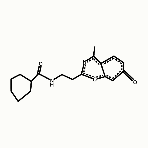 Cc1nc(CCNC(=O)C2CCCCC2)oc2cc(=O)ccc1-2